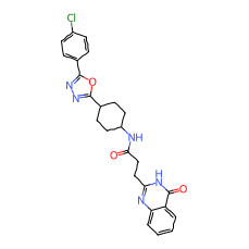 O=C(CCc1nc2ccccc2c(=O)[nH]1)NC1CCC(c2nnc(-c3ccc(Cl)cc3)o2)CC1